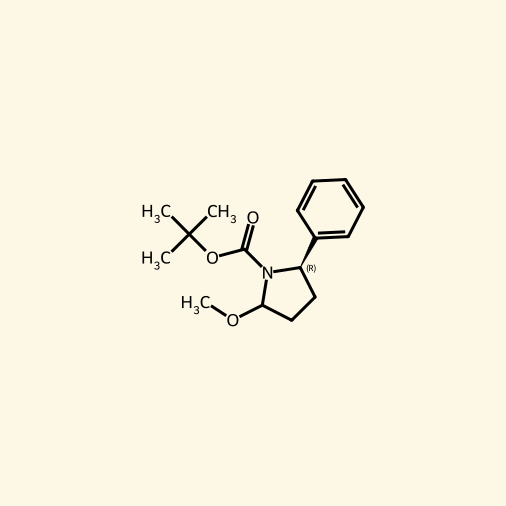 COC1CC[C@H](c2ccccc2)N1C(=O)OC(C)(C)C